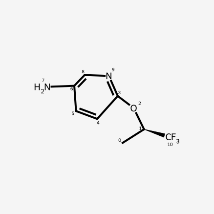 C[C@@H](Oc1ccc(N)cn1)C(F)(F)F